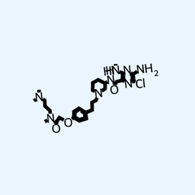 CNc1nc(N)c(Cl)nc1C(=O)NC1CCCN(CCCc2ccc(OCC(=O)N(C)CCCN(C)C)cc2)C1